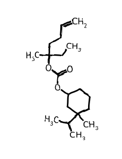 C=CCCC(C)(CC)OC(=O)OC1CCCC(C)(C(C)C)C1